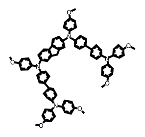 COc1ccc(N(c2ccc(OC)cc2)c2ccc(-c3ccc(N(c4ccc(OC)cc4)c4ccc5c(c4)Cc4cc(N(c6ccc(OC)cc6)c6ccc(-c7ccc(N(c8ccc(OC)cc8)c8ccc(OC)cc8)cc7)cc6)ccc4-5)cc3)cc2)cc1